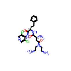 NCCN(CCN)C(=O)C[C@H](N)C(=O)N[C@@H](CCc1ccccc1)C(=O)Nc1c(Cl)cncc1Cl